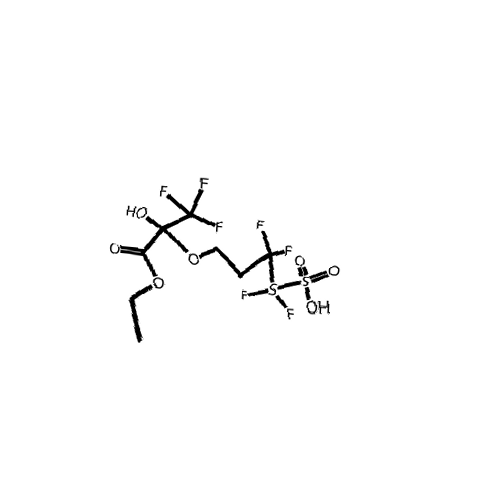 CCOC(=O)C(O)(OCCC(F)(F)S(F)(F)S(=O)(=O)O)C(F)(F)F